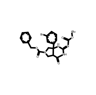 CC(C)(C)OC(=O)/N=C1/NC(=O)C2CN(C(=O)OCc3ccccc3)CC2(c2cccc(Br)c2)N1